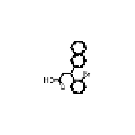 O=C(O)CC(c1ccc2ccccc2c1)c1ccccc1Br